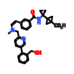 CN(/C=C\c1cccc(C(=O)NC2(C34CC3(C(=O)O)C4)CC2)c1)Cc1ccc(-c2ccccc2CO)cn1